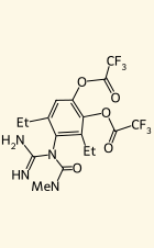 CCc1cc(OC(=O)C(F)(F)F)c(OC(=O)C(F)(F)F)c(CC)c1N(C(=N)N)C(=O)NC